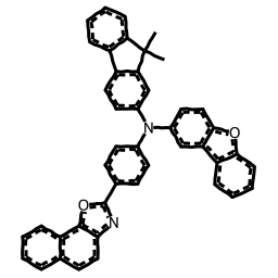 CC1(C)c2ccccc2-c2ccc(N(c3ccc(-c4nc5ccc6ccccc6c5o4)cc3)c3ccc4oc5ccccc5c4c3)cc21